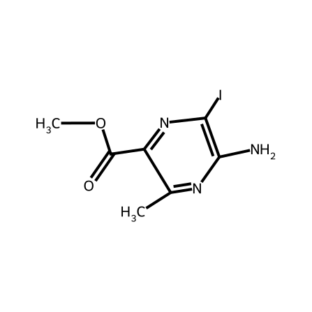 COC(=O)c1nc(I)c(N)nc1C